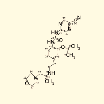 CC(C)Oc1cc(CCN[C@H](C)CN2CCOCC2)ccc1NC(=O)Nc1cnc(C#N)cn1